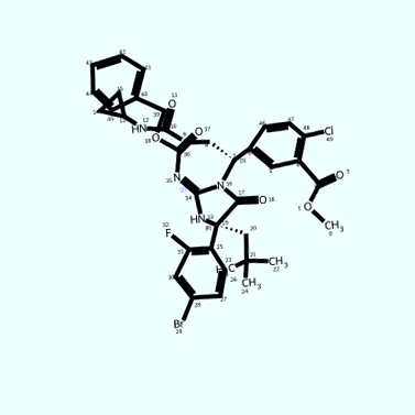 COC(=O)c1cc([C@@H](COC(=O)NC2CC2)N2C(=O)[C@@](CC(C)(C)C)(c3ccc(Br)cc3F)N/C2=N/C(=O)OCc2ccccc2)ccc1Cl